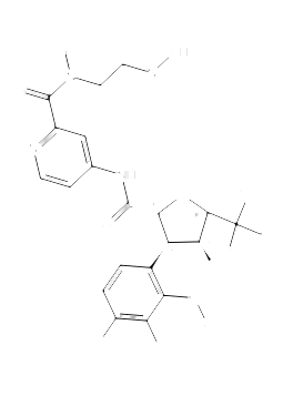 CNCCN(C)C(=O)c1cc(NC(=O)[C@@H]2O[C@@](C)(C(F)(F)F)[C@@H](C)[C@H]2c2ccc(F)c(F)c2OC)ccn1